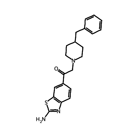 Nc1nc2ccc(C(=O)CN3CCC(Cc4ccccc4)CC3)cc2s1